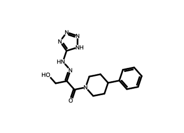 O=C(C(CO)=NNc1nnn[nH]1)N1CCC(c2ccccc2)CC1